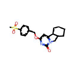 CS(=O)(=O)c1ccc(COc2cc3n(c(=O)n2)CC2CCCCC32)cc1